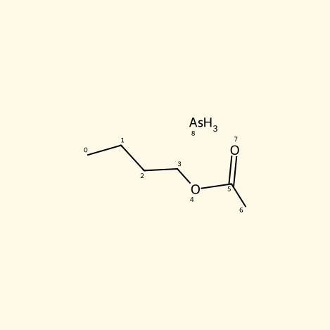 CCCCOC(C)=O.[AsH3]